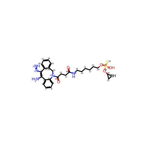 N=N/C1=C(\N)c2ccccc2N(C(=O)CCC(=O)NCCCCCCOP(O)(=S)OC2BC2)Cc2ccccc21